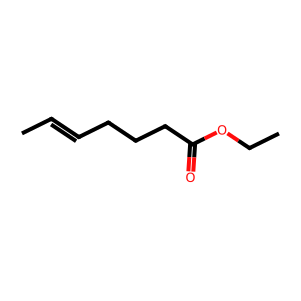 C/C=C/CCCC(=O)OCC